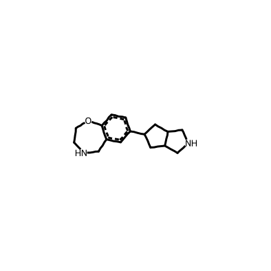 c1cc2c(cc1C1CC3CNCC3C1)CNCCO2